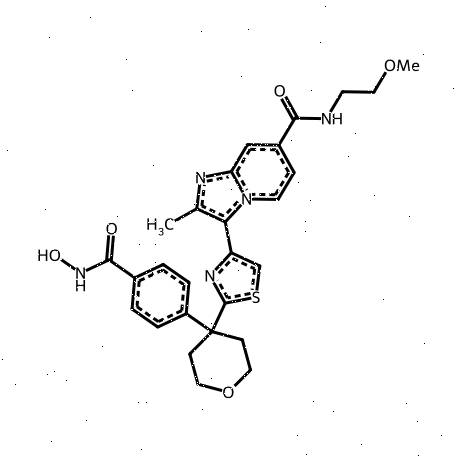 COCCNC(=O)c1ccn2c(-c3csc(C4(c5ccc(C(=O)NO)cc5)CCOCC4)n3)c(C)nc2c1